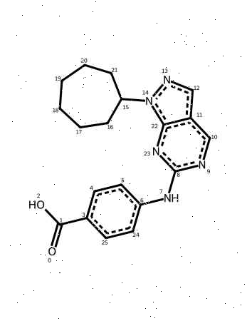 O=C(O)c1ccc(Nc2ncc3cnn(C4CCCCCC4)c3n2)cc1